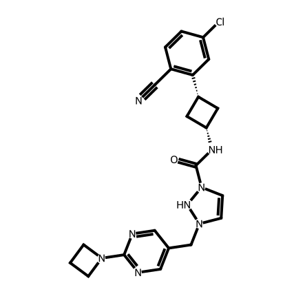 N#Cc1ccc(Cl)cc1[C@H]1C[C@@H](NC(=O)N2C=CN(Cc3cnc(N4CCC4)nc3)N2)C1